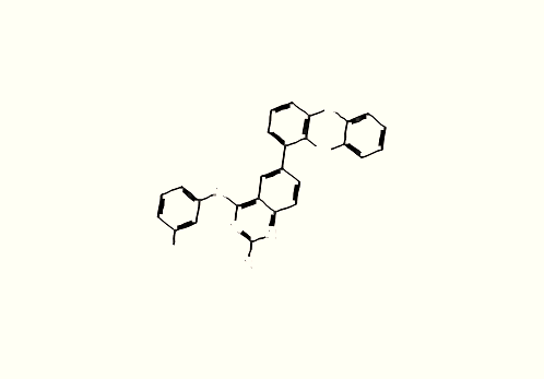 Nc1nc(Nc2cccc(Br)c2)c2cc(-c3cccc4c3Oc3ccccc3S4)ccc2n1